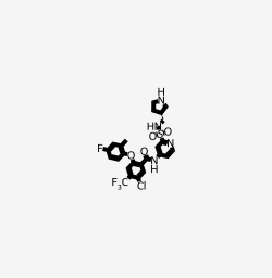 Cc1cc(F)ccc1Oc1cc(C(F)(F)F)c(Cl)cc1C(=O)Nc1ccnc(S(=O)(=O)NC[C@@H]2CCNC2)c1